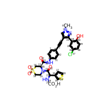 Cn1cc(C#Cc2ccc(NC(=O)[C@@H]3CS(=O)(=O)CCN3C(=O)C(NC(=O)O)c3ccsc3)cc2)c(-c2cc(Cl)ccc2O)n1